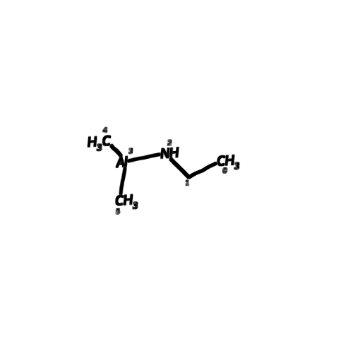 CC[NH][Al]([CH3])[CH3]